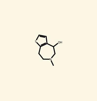 CN1CCc2sccc2C(O)C1